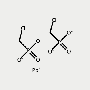 O=P([O-])([O-])CCl.O=P([O-])([O-])CCl.[Pb+4]